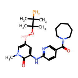 Cn1cc(BOC(C)(C)C(C)(C)P)cc(Nc2ccc(C(=O)N3CCCCCC3)cn2)c1=O